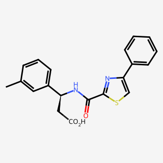 Cc1cccc([C@H](CC(=O)O)NC(=O)c2nc(-c3ccccc3)cs2)c1